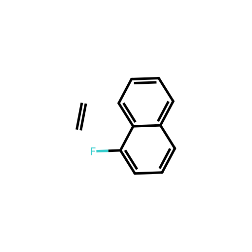 C=C.Fc1cccc2ccccc12